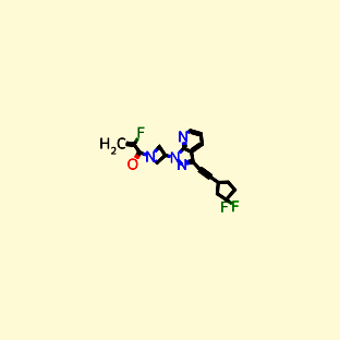 C=C(F)C(=O)N1CC(n2nc(C#CC3CCC(F)(F)C3)c3cccnc32)C1